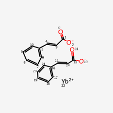 O=C([O-])/C=C/c1ccccc1.O=C([O-])/C=C/c1ccccc1.[Yb+2]